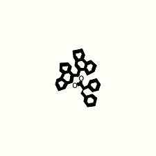 O=C(OC(c1cc2ccccc2c2ccccc12)c1cc2ccccc2c2ccccc12)[C@H](Cc1ccccc1)c1ccccc1